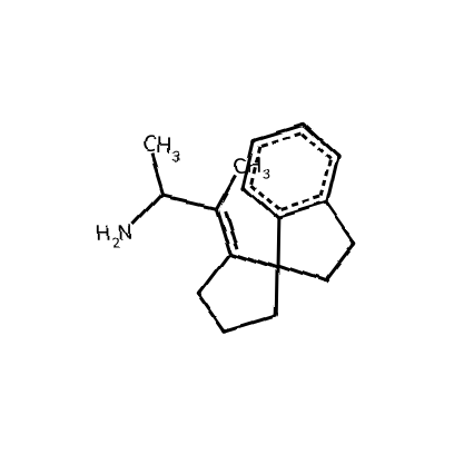 CC(=C1CCCC12CCc1ccccc12)C(C)N